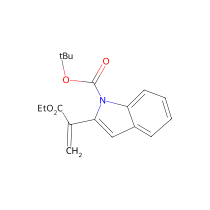 C=C(C(=O)OCC)c1cc2ccccc2n1C(=O)OC(C)(C)C